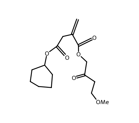 C=C(CC(=O)OC1CCCCC1)C(=O)OCC(=O)CCOC